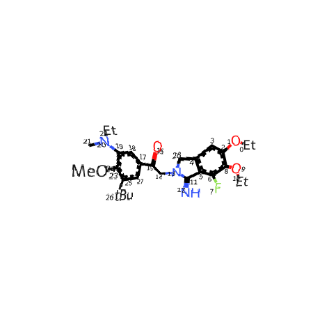 CCOc1cc2c(c(F)c1OCC)C(=N)N(CC(=O)c1cc(N(C)CC)c(OC)c(C(C)(C)C)c1)C2